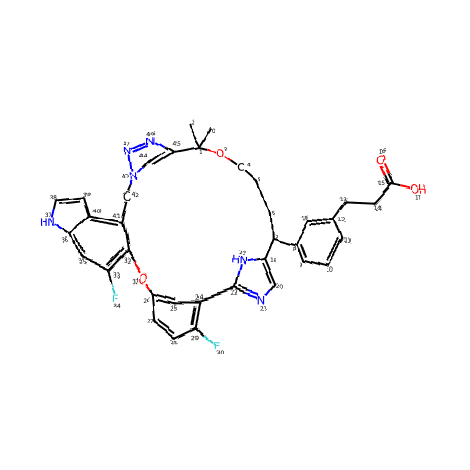 CC1(C)OCCCC(c2cccc(CCC(=O)O)c2)c2cnc([nH]2)-c2cc(ccc2F)Oc2c(F)cc3[nH]ccc3c2Cn2cc1nn2